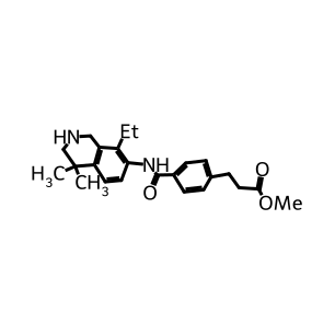 CCc1c(NC(=O)c2ccc(CCC(=O)OC)cc2)ccc2c1CNCC2(C)C